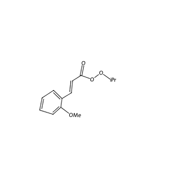 COc1ccccc1/C=C/C(=O)OOC(C)C